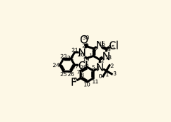 CC(C)(C)N(c1ccc(F)cc1)c1nc(Cl)nc2c1CN(Cc1ccccc1Cl)C2=O